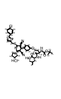 CC(C)C[C@H](NC(=O)[C@@](C)(CCOc1ccc(-c2c(C#N)c(SCc3csc(-c4ccc(Cl)cc4)n3)nc(N3CCCC3)c2C#N)cc1)NC(=O)OC(C)(C)C)C(=O)O.Cl